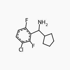 NC(c1c(F)ccc(Cl)c1F)C1CCCC1